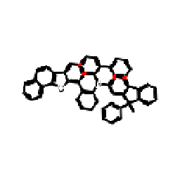 CC1(c2ccccc2)c2ccccc2-c2ccc(N(C3=C(c4cccc5c4oc4c6ccccc6ccc54)C=CCC3)c3ccccc3-c3ccccc3)cc21